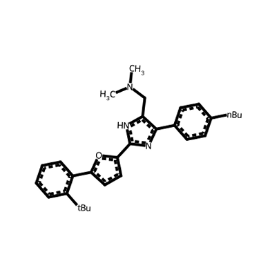 CCCCc1ccc(-c2nc(-c3ccc(-c4ccccc4C(C)(C)C)o3)[nH]c2CN(C)C)cc1